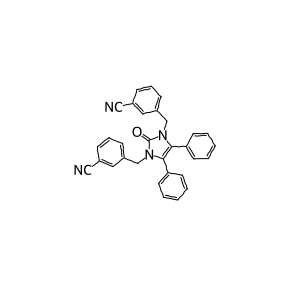 N#Cc1cccc(Cn2c(-c3ccccc3)c(-c3ccccc3)n(Cc3cccc(C#N)c3)c2=O)c1